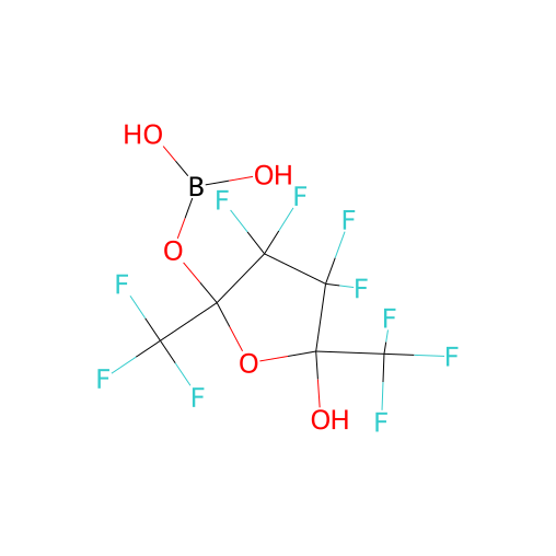 OB(O)OC1(C(F)(F)F)OC(O)(C(F)(F)F)C(F)(F)C1(F)F